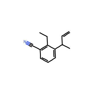 C=C[C](C)c1cccc(C#N)c1CC